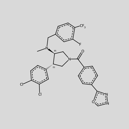 CN(Cc1ccc(C(F)(F)F)c(F)c1)[C@H]1CN(C(=O)c2ccc(-c3nnco3)cc2)C[C@@H]1c1ccc(Cl)c(Cl)c1